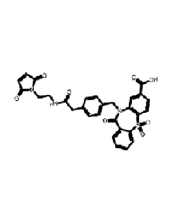 O=C(Cc1ccc(CN2C(=O)c3ccccc3S(=O)(=O)c3ccc(C(=O)O)cc32)cc1)NCCN1C(=O)C=CC1=O